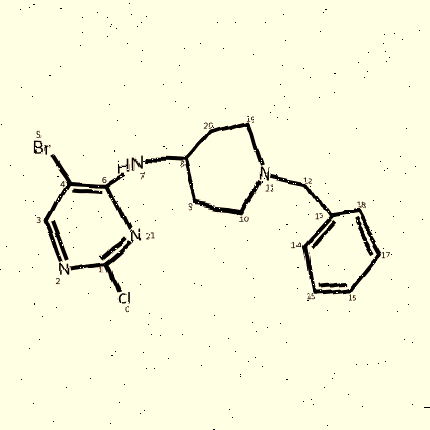 Clc1ncc(Br)c(NC2CCN(Cc3ccccc3)CC2)n1